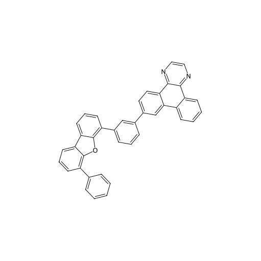 c1ccc(-c2cccc3c2oc2c(-c4cccc(-c5ccc6c(c5)c5ccccc5c5nccnc65)c4)cccc23)cc1